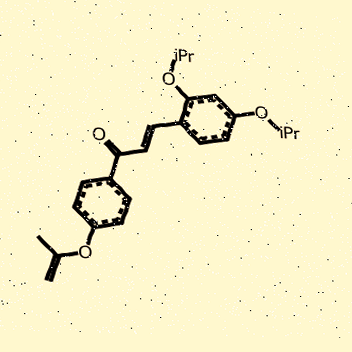 C=C(C)Oc1ccc(C(=O)C=Cc2ccc(OC(C)C)cc2OC(C)C)cc1